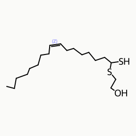 CCCCCCCC/C=C\CCCCCCC(S)SCCO